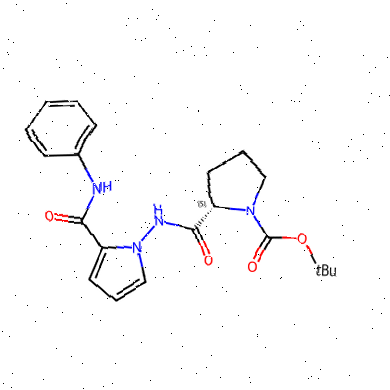 CC(C)(C)OC(=O)N1CCC[C@H]1C(=O)Nn1cccc1C(=O)Nc1ccccc1